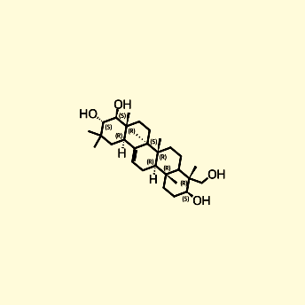 CC1(C)C[C@@H]2C3=CC[C@@H]4[C@@]5(C)CC[C@H](O)[C@@](C)(CO)C5CC[C@@]4(C)[C@]3(C)CC[C@@]2(C)[C@H](O)[C@H]1O